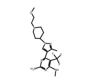 CNc1nc(N)nc(-c2cn(C3CCN(CCOC)CC3)nc2C)c1C(F)(F)F